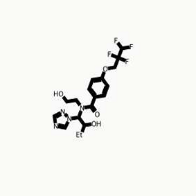 CCC(O)C(N(CCO)C(=O)c1ccc(OCC(F)(F)C(F)F)cc1)n1cncn1